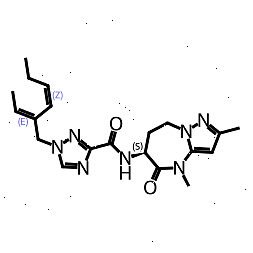 C/C=C(\C=C/CC)Cn1cnc(C(=O)N[C@H]2CCn3nc(C)cc3N(C)C2=O)n1